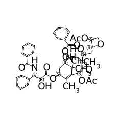 CC(=O)O[C@H]1C(=O)[C@](C)([C@@H](O)C[C@H]2OC[C@@H]2OC(C)=O)C[C@H](OC(=O)c2ccccc2)[C@]2(O)C[C@H](OC(=O)[C@H](O)[C@@H](NC(=O)c3ccccc3)c3ccccc3)C(C)=C1C2(C)C